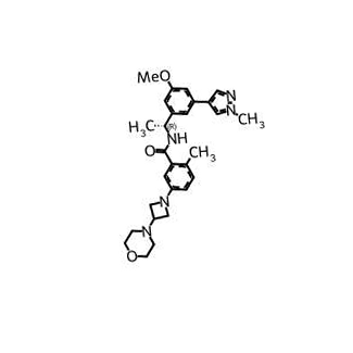 COc1cc(-c2cnn(C)c2)cc([C@@H](C)NC(=O)c2cc(N3CC(N4CCOCC4)C3)ccc2C)c1